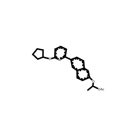 CC(=O)OC(C)Oc1ccc2cc(-c3cccc(OC4CCCC4)n3)ccc2c1